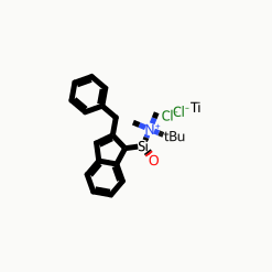 CC(C)(C)[N+](C)(C)[Si](=O)C1C(Cc2ccccc2)=Cc2ccccc21.[Cl-].[Cl-].[Ti]